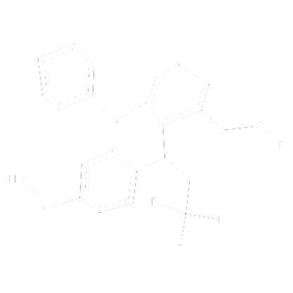 COc1ccc(C(CC(F)(F)F)c2c(COF)cccc2Oc2ccccc2)cc1